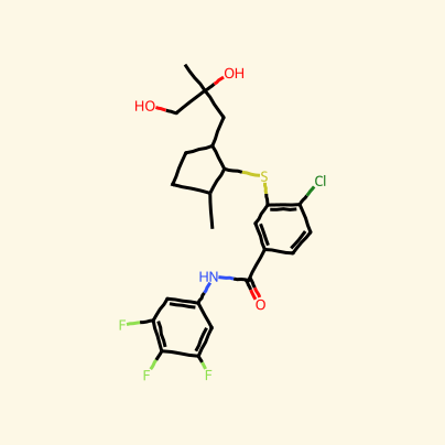 CC1CCC(CC(C)(O)CO)C1Sc1cc(C(=O)Nc2cc(F)c(F)c(F)c2)ccc1Cl